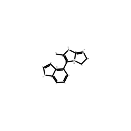 CC1=C(c2cccc3sccc23)N2CCN=C2S1